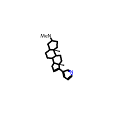 CNC1CC[C@@]2(C)C(CCC3C2CC[C@]2(C)C(c4cccnc4)=CCC32)C1